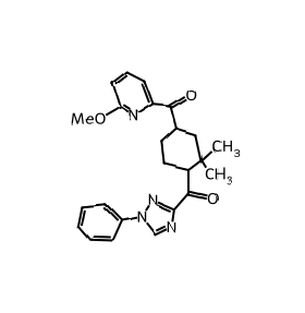 COc1cccc(C(=O)C2CCC(C(=O)c3ncn(-c4ccccc4)n3)C(C)(C)C2)n1